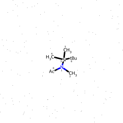 CC(=O)N(C)[Si](C)(C)C(C)(C)C